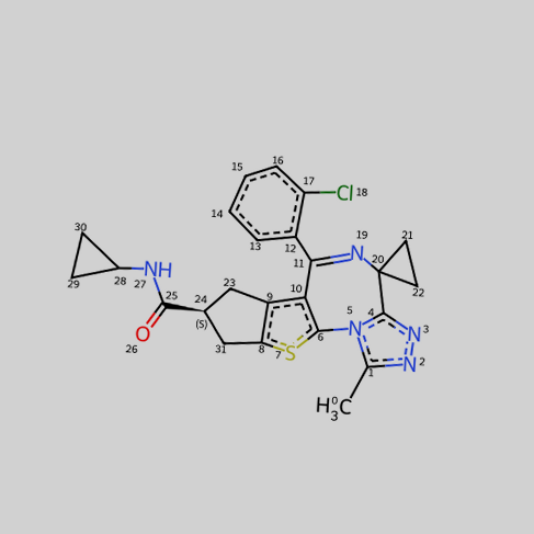 Cc1nnc2n1-c1sc3c(c1C(c1ccccc1Cl)=NC21CC1)C[C@H](C(=O)NC1CC1)C3